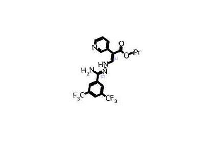 CC(C)OC(=O)/C(=C/N/N=C(\N)c1cc(C(F)(F)F)cc(C(F)(F)F)c1)c1cccnc1